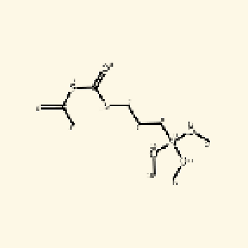 C=C(C)SC(=O)SCCC[Si](OC)(OC)OC